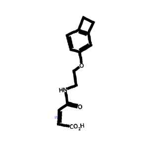 O=C(O)/C=C\C(=O)NCCOc1ccc2c(c1)CC2